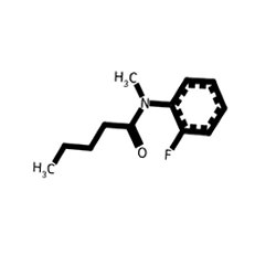 CCCCC(=O)N(C)c1ccccc1F